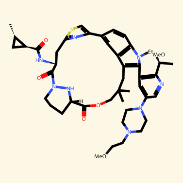 CCn1c(-c2cc(N3CCN(CCOC)CC3)cnc2[C@H](C)OC)c2c3cc(ccc31)-c1csc(n1)C[C@H](NC(=O)[C@H]1C[C@@H]1C)C(=O)N1CCC[C@H](N1)C(=O)OCC(C)(C)C2